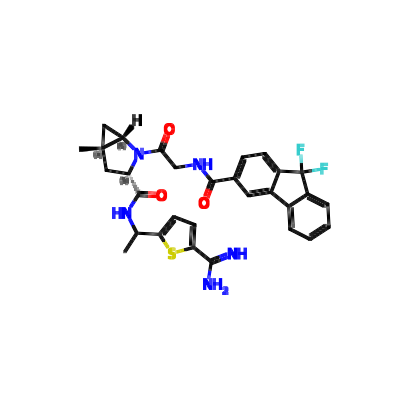 CC(NC(=O)[C@@H]1C[C@]2(C)C[C@@H]2N1C(=O)CNC(=O)c1ccc2c(c1)-c1ccccc1C2(F)F)c1ccc(C(=N)N)s1